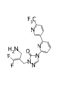 NCC(Cn1ncn(-c2cccc(-c3ccc(C(F)(F)F)nc3)n2)c1=O)=C(F)F